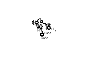 COc1ccc(CNc2ncnc3c2ccn3C2=CC(CN(C)C3CC(CCC4NC5C=CC(C(F)(F)F)=CC5N4)C3)=C3OC(C)(C)O[C@@H]23)c(OC)c1